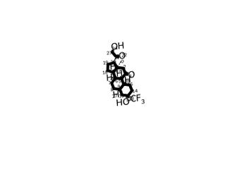 C[C@]12CC(=O)[C@H]3[C@@H](CC[C@H]4C[C@@](O)(C(F)(F)F)CC[C@@H]43)[C@@H]1CC[C@@H]2C(=O)CO